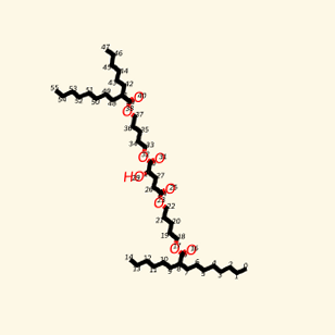 CCCCCCCCC(CCCCCC)C(=O)OCCCCCOC(=O)CCC(O)C(=O)OCCCCCOC(=O)C(CCCCCC)CCCCCCCC